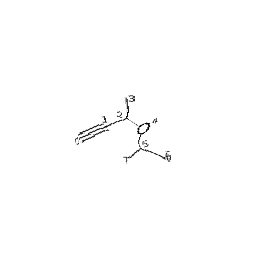 C#CC(C)OC(C)C